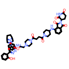 Nc1nnc(-c2ccccc2O)cc1N1CC2CCC(C1)N2c1cccc(OCCN2CCN(C(=O)CCC(=O)N3CCC(Nc4cccc5c4C(=O)N(C4CCC(=O)NC4=O)C5=O)CC3)CC2)c1